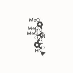 COC(=O)c1c(OCc2cccc(C(=O)NC3CC3)c2F)nsc1NCc1ccc(OC)cc1OC